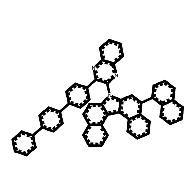 c1ccc(-c2ccc(-c3ccc(-c4nc5ccccc5nc4-n4c5ccc6ccccc6c5c5c6ccccc6c(-c6cccc7ccccc67)cc54)cc3)cc2)cc1